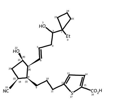 CCC1(C(O)CC=C[C@H]2[C@@H](CCCc3ccc(C(=O)O)s3)[C@@H](C#N)C[C@H]2O)CCC1